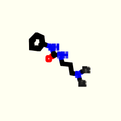 CCN(CC)CCCNC(=O)Nc1ccccc1